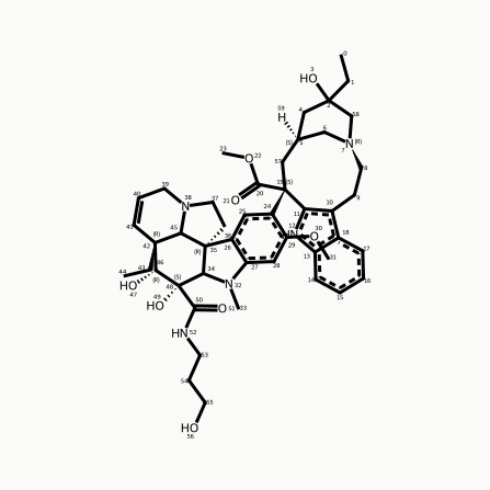 CCC1(O)C[C@H]2C[N@](CCc3c([nH]c4ccccc34)[C@@](C(=O)OC)(c3cc4c(cc3OC)N(C)C3[C@]45CCN4CC=C[C@](CC)(C45)[C@@H](O)[C@]3(O)C(=O)NCCCO)C2)C1